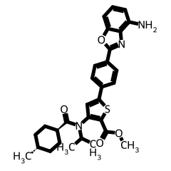 COC(=O)c1sc(-c2ccc(-c3nc4c(N)cccc4o3)cc2)cc1N(C(=O)[C@H]1CC[C@H](C)CC1)C(C)C